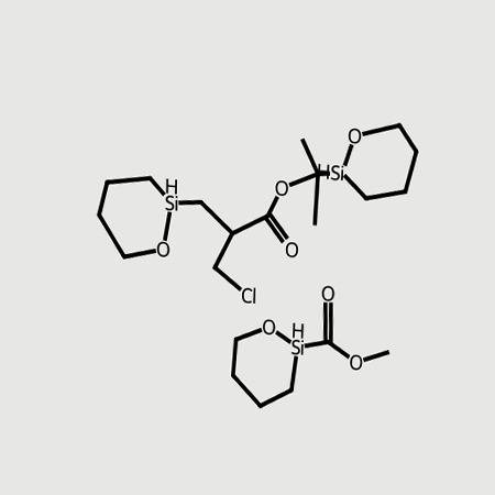 CC(C)(OC(=O)C(CCl)C[SiH]1CCCCO1)[SiH]1CCCCO1.COC(=O)[SiH]1CCCCO1